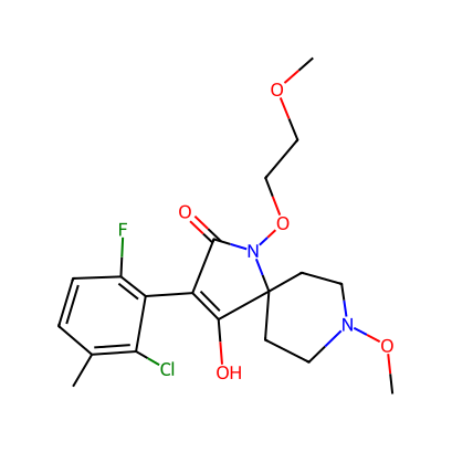 COCCON1C(=O)C(c2c(F)ccc(C)c2Cl)=C(O)C12CCN(OC)CC2